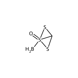 BS12(=O)SC1S2